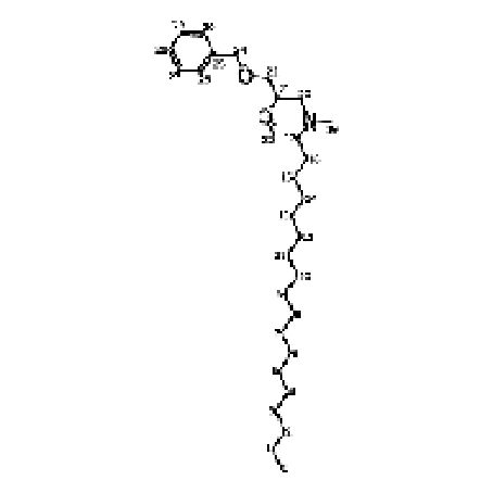 CCCCCCCCCCCCCCCCCCN(C)CC(COCc1ccccc1)OC